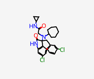 O=C(CN(C1CCCCCC1)C1(Cc2cccc(Cl)c2)C(=O)Nc2cc(Cl)ccc21)NC1CC1